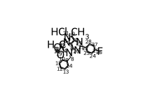 Cc1nn(C)c2c(N(Cc3ccccc3)C3=COCO3)nc(-c3ccc(F)cc3)nc12.Cl